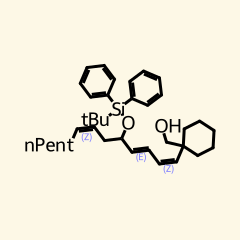 CCCCC/C=C\CC(/C=C/C=C\C1(CO)CCCCC1)O[Si](c1ccccc1)(c1ccccc1)C(C)(C)C